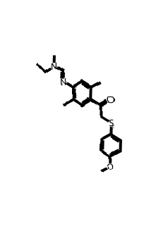 CCN(C)C=Nc1cc(C)c(C(=O)CSc2ccc(OC)cc2)cc1C